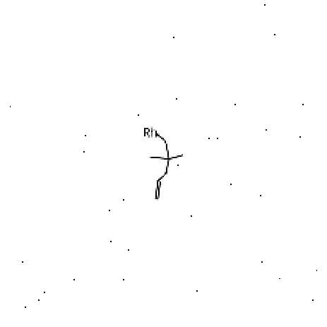 C=CCC(C)(C)[CH2][Rh]